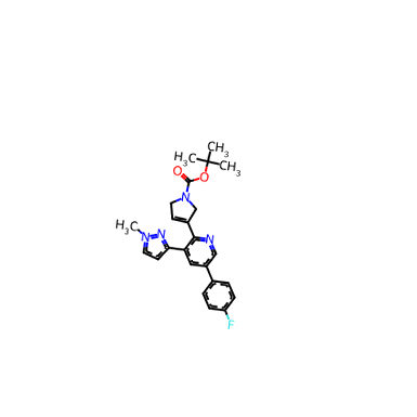 Cn1ccc(-c2cc(-c3ccc(F)cc3)cnc2C2=CCN(C(=O)OC(C)(C)C)C2)n1